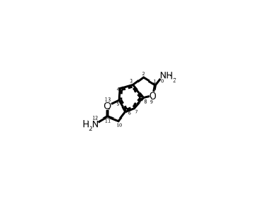 NC1Cc2cc3c(cc2O1)CC(N)O3